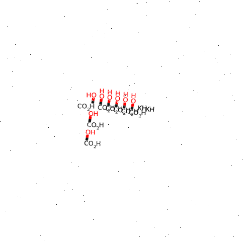 O=C(O)O.O=C(O)O.O=C(O)O.O=C(O)O.O=C(O)O.O=C(O)O.O=C(O)O.O=C(O)O.[KH].[KH]